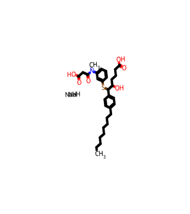 CCCCCCCCCc1ccc(C(Sc2cccc(N(C)C(=O)CC(=O)O)c2)C(O)CCCC(=O)O)cc1.[NaH].[NaH]